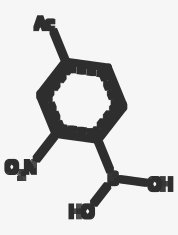 CC(=O)c1ccc(B(O)O)c([N+](=O)[O-])c1